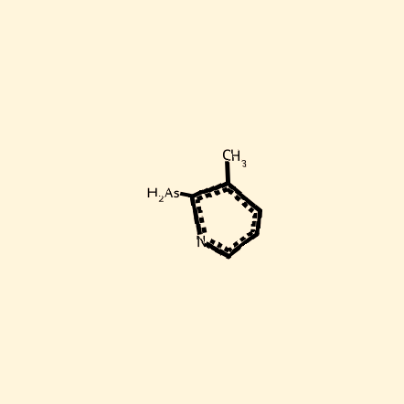 Cc1cccnc1[AsH2]